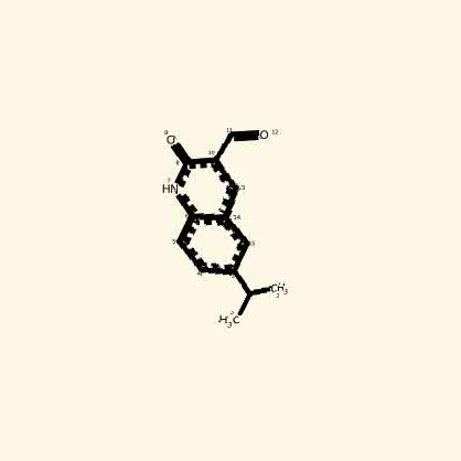 CC(C)c1ccc2[nH]c(=O)c(C=O)cc2c1